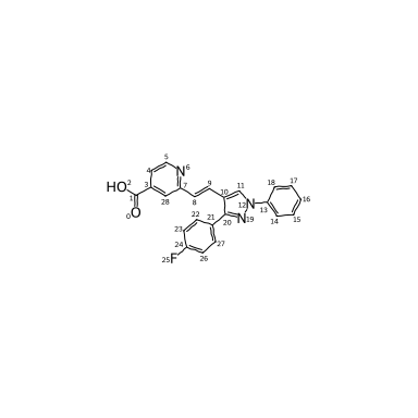 O=C(O)c1ccnc(/C=C/c2cn(-c3ccccc3)nc2-c2ccc(F)cc2)c1